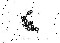 Cc1cccc(C(=O)Nc2ccc(C)c(Nc3c(-c4cc(NCCN5CCOCC5)ncn4)cnn3C)c2)c1